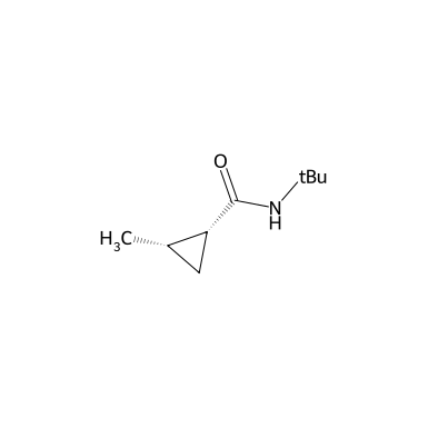 C[C@H]1C[C@H]1C(=O)NC(C)(C)C